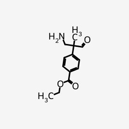 CCOC(=O)c1ccc(C(C)(C=O)CN)cc1